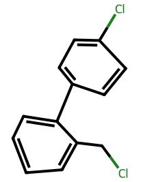 ClCc1ccccc1-c1ccc(Cl)cc1